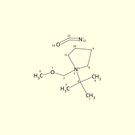 COC[N+]1(C(C)(C)C)CCCC1.[N-]=C=O